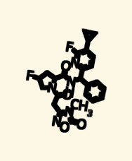 Cn1c(CC(=O)N2CC(F)CC2C(=O)NC(c2ccccc2)c2ccc(C3CC3)c(F)n2)noc1=O